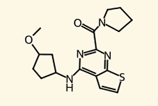 COC1CCC(Nc2nc(C(=O)N3CCCC3)nc3sccc23)C1